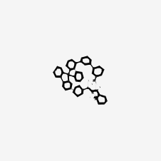 c1ccc(-c2nc(-c3cccc(-c4cccc(-c5cccc(C6(c7ccccc7)c7ccccc7-c7ccccc76)c5)c4)c3)nc3c2oc2ccccc23)cc1